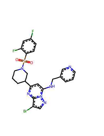 O=S(=O)(c1ccc(F)cc1F)N1CCCC(c2cc(NCc3cccnc3)n3ncc(Br)c3n2)C1